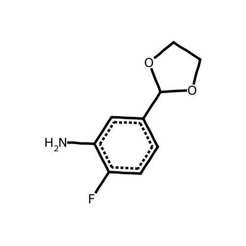 Nc1cc(C2OCCO2)ccc1F